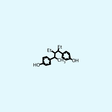 CCC(c1ccc(O)cc1)C(CC)C(C)c1ccc(O)cc1